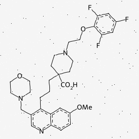 COc1ccc2ncc(CN3CCOCC3)c(CCCC3(C(=O)O)CCN(CCOc4c(F)cc(F)cc4F)CC3)c2c1